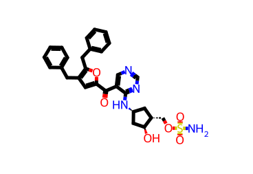 NS(=O)(=O)OC[C@H]1C[C@@H](Nc2ncncc2C(=O)c2cc(Cc3ccccc3)c(Cc3ccccc3)o2)C[C@@H]1O